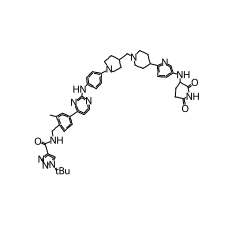 Cc1cc(-c2ccnc(Nc3ccc(N4CCC(CN5CCC(c6ccc(NC7CCC(=O)NC7=O)cn6)CC5)CC4)cc3)n2)ccc1CNC(=O)c1cn(C(C)(C)C)nn1